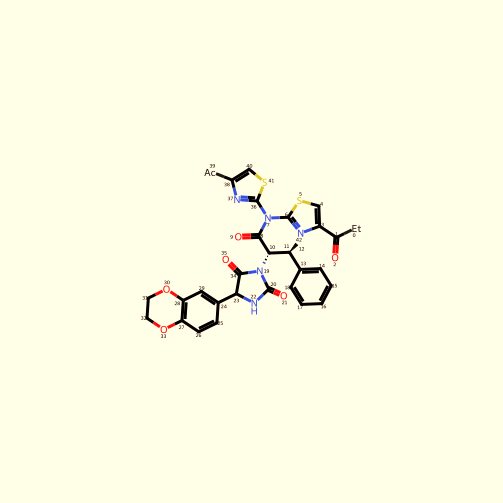 CCC(=O)c1csc(N(C(=O)[C@H]([C@@H](C)c2ccccc2)N2C(=O)NC(c3ccc4c(c3)OCCO4)C2=O)c2nc(C(C)=O)cs2)n1